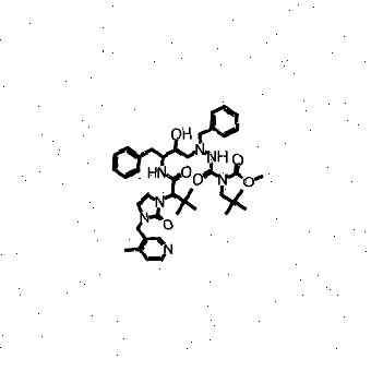 COC(=O)N(CC(C)(C)C)C(=O)NN(Cc1ccccc1)CC(O)C(Cc1ccccc1)NC(=O)C(N1CCN(Cc2cnccc2C)C1=O)C(C)(C)C